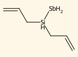 C=CC[SiH]([SbH2])CC=C